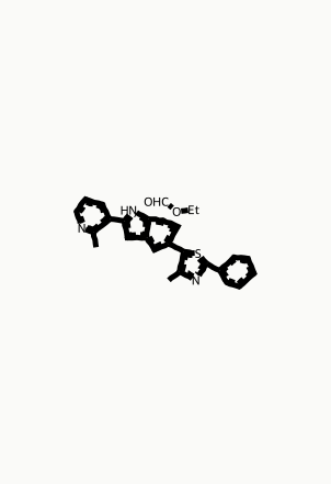 CCOC=O.Cc1ncccc1-c1cc2cc(-c3sc(-c4ccccc4)nc3C)ccc2[nH]1